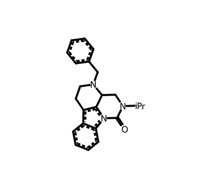 CC(C)N1CC2c3c(c4ccccc4n3C1=O)CCN2Cc1ccccc1